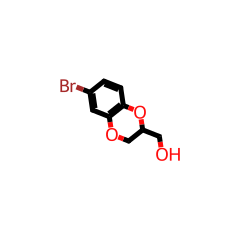 OCC1COc2cc(Br)ccc2O1